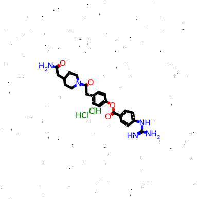 Cl.Cl.N=C(N)Nc1ccc(C(=O)Oc2ccc(CC(=O)N3CCC(CC(N)=O)CC3)cc2)cc1